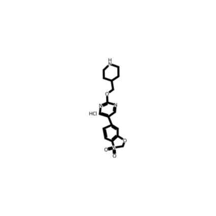 Cl.O=S1(=O)COc2cc(-c3cnc(OCC4CCNCC4)nc3)ccc21